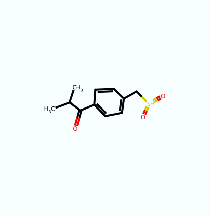 C[C](C)C(=O)c1ccc(C[SH](=O)=O)cc1